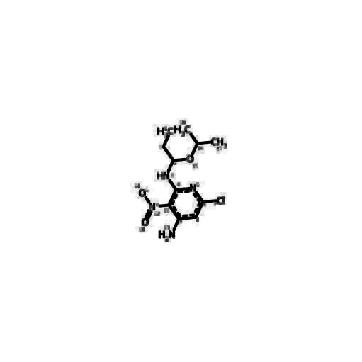 CCC(Nc1nc(Cl)cc(N)c1[N+](=O)[O-])OC(C)C